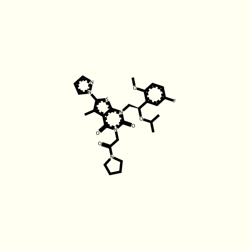 COc1ccc(F)cc1[C@H](Cn1c(=O)n(CC(=O)N2CCCC2)c(=O)c2c(C)c(-n3cccn3)sc21)OC(C)C